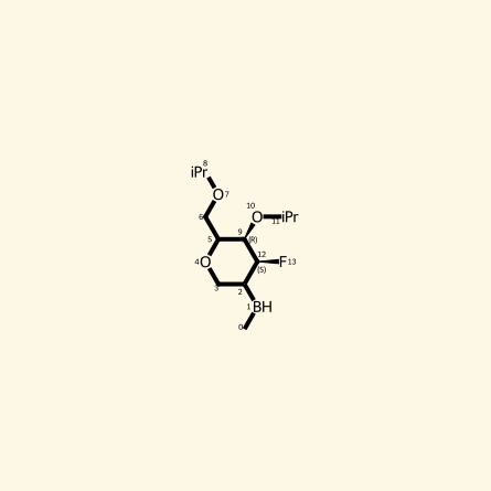 CBC1COC(COC(C)C)[C@@H](OC(C)C)[C@H]1F